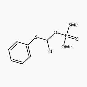 COP(=S)(OC(Cl)Sc1ccccc1)SC